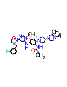 C=CC(=O)Nc1cc(Nc2cc(N3OCC[C@@H]3Cc3cccc(F)c3)ncn2)c(OC)cc1N1CCC(N2CCN(C3CC3)[C@@H](C)C2)CC1